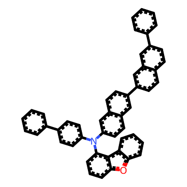 c1ccc(-c2ccc(N(c3ccc4cc(-c5ccc6ccc(-c7ccccc7)cc6c5)ccc4c3)c3cccc4oc5ccccc5c34)cc2)cc1